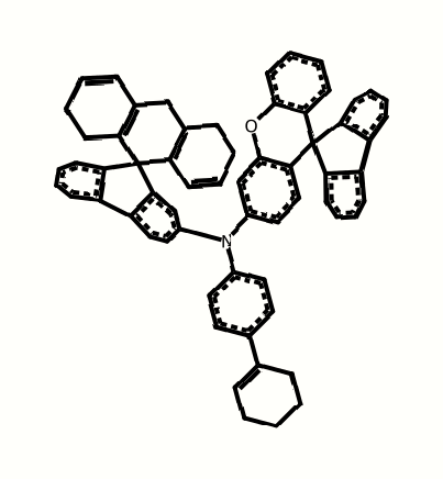 C1=CC2=C(CC1)CC1=C(CCC=C1)C21c2ccccc2-c2ccc(N(c3ccc(C4=CCCCC4)cc3)c3ccc4c(c3)Oc3ccccc3C43c4ccccc4-c4ccccc43)cc21